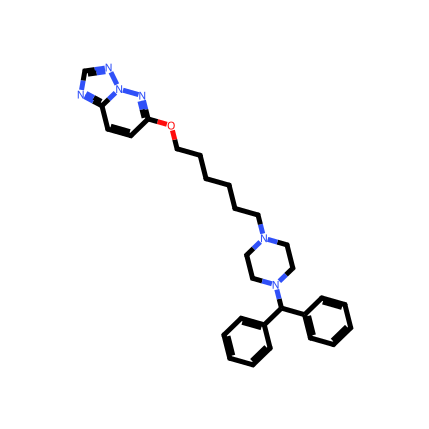 c1ccc(C(c2ccccc2)N2CCN(CCCCCCOc3ccc4ncnn4n3)CC2)cc1